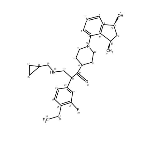 C[C@@H]1C[C@H](O)c2cncc(N3CCN(C(=O)C(CNCC4CC4)c4ccc(OC(F)(F)F)c(F)c4)CC3)c21